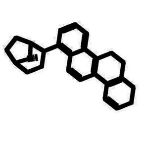 C1=CC2=C(CC1)CCc1c2ccc2c([C]3CCC4CCC3N4)cccc12